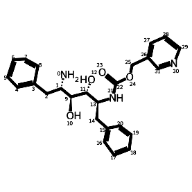 N[C@@H](Cc1ccccc1)[C@H](O)[C@H](O)[C@H](Cc1ccccc1)NC(=O)OCc1cccnc1